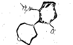 Nc1ccc[n+]([O-])c1N1CCOCC1